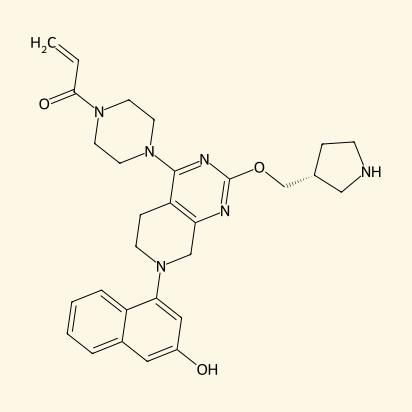 C=CC(=O)N1CCN(c2nc(OC[C@@H]3CCNC3)nc3c2CCN(c2cc(O)cc4ccccc24)C3)CC1